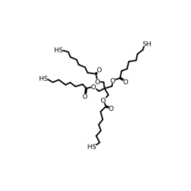 O=C(CCCCCCS)OCC(COC(=O)CCCCCCS)(COC(=O)CCCCCCS)COC(=O)CCCCCCS